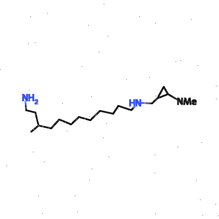 CNC1CC1CNCCCCCCCCCC(C)CCN